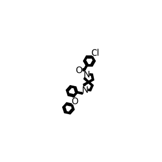 O=C(c1ccc(Cl)cc1)N1CCC2(CCN(Cc3ccccc3Oc3ccccc3)C2)C1